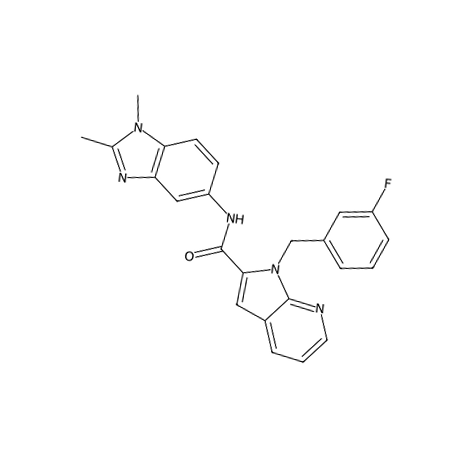 Cc1nc2cc(NC(=O)c3cc4cccnc4n3Cc3cccc(F)c3)ccc2n1C